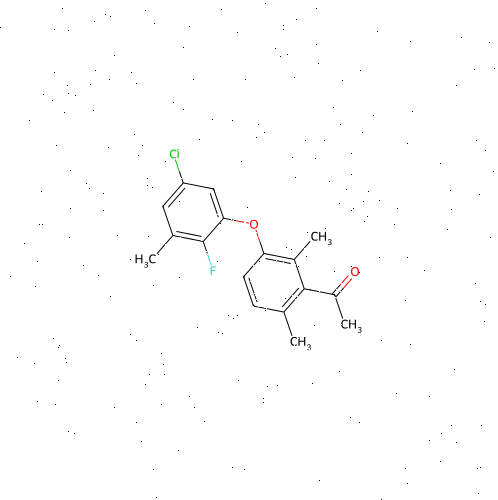 CC(=O)c1c(C)ccc(Oc2cc(Cl)cc(C)c2F)c1C